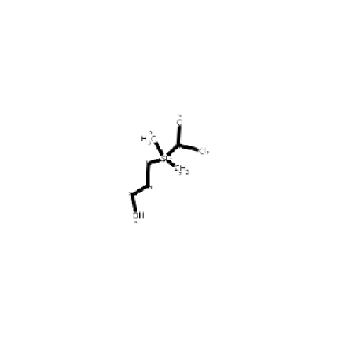 C[Si](C)(CCCO)C(Cl)Cl